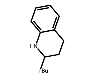 CCCCC1CCc2ccccc2N1